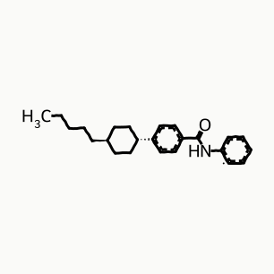 CCCCC[C@H]1CC[C@H](c2ccc(C(=O)Nc3[c]cccc3)cc2)CC1